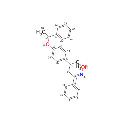 CC(CC(=NO)c1ccccc1)c1ccc(OC(C)c2ccccc2)cc1